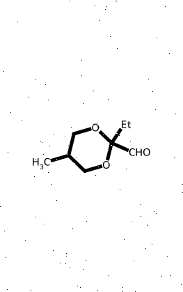 CCC1(C=O)OCC(C)CO1